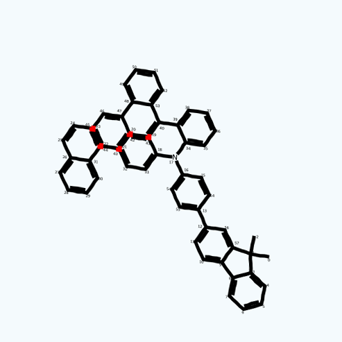 CC1(C)c2ccccc2-c2ccc(-c3ccc(N(c4ccc(-c5cccc6ccccc56)cc4)c4ccccc4-c4cc5ccccc5c5ccccc45)cc3)cc21